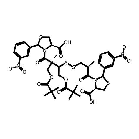 C[C@H](CSSC(COC(=O)C(C)(C)C)[C@@](C)(COC(=O)C(C)(C)C)C(=O)N1C(c2cccc([N+](=O)[O-])c2)SC[C@H]1C(=O)O)C(=O)N1C(c2cccc([N+](=O)[O-])c2)SC[C@H]1C(=O)O